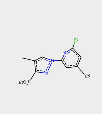 CCOC(=O)c1nn(-c2cc(C#N)cc(Cl)n2)cc1C